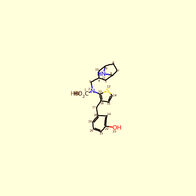 Br.O=C(O)N(CC1CC2CCC(C1)N2)c1sccc1Cc1cccc(O)c1